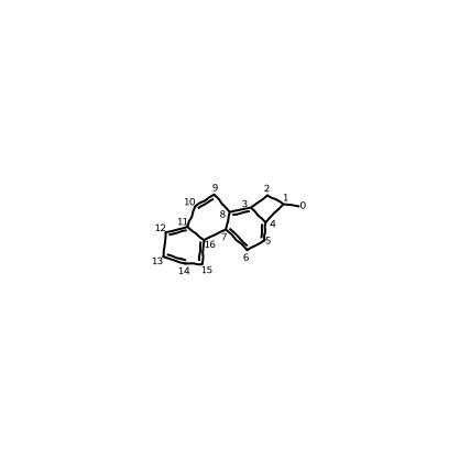 CC1Cc2c1ccc1c2ccc2ccccc21